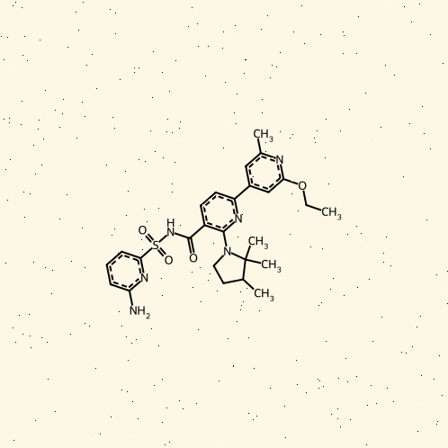 CCOc1cc(-c2ccc(C(=O)NS(=O)(=O)c3cccc(N)n3)c(N3CCC(C)C3(C)C)n2)cc(C)n1